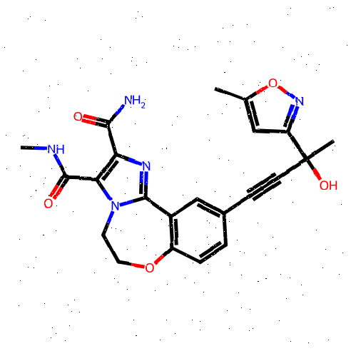 CNC(=O)c1c(C(N)=O)nc2n1CCOc1ccc(C#CC(C)(O)c3cc(C)on3)cc1-2